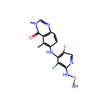 CCCSNc1ncc(F)c(Nc2ccc3ncn(C)c(=O)c3c2C)c1F